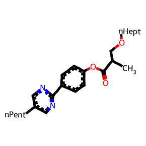 CCCCCCCOCC(C)C(=O)Oc1ccc(-c2ncc(CCCCC)cn2)cc1